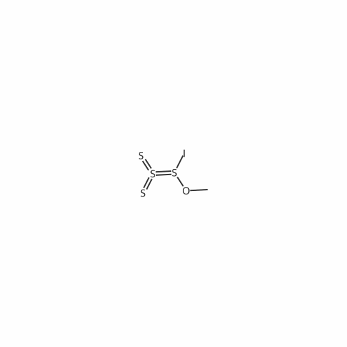 COS(I)=S(=S)=S